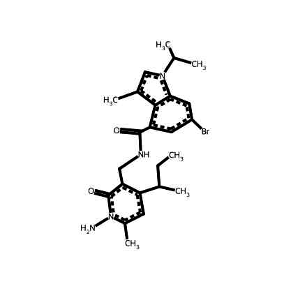 CCC(C)c1cc(C)n(N)c(=O)c1CNC(=O)c1cc(Br)cc2c1c(C)cn2C(C)C